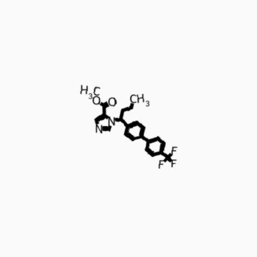 CCCC(c1ccc(-c2ccc(C(F)(F)F)cc2)cc1)n1cncc1C(=O)OC